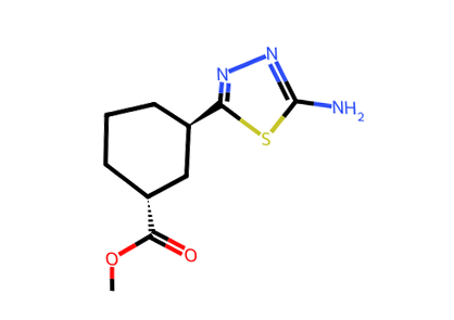 COC(=O)[C@@H]1CCC[C@@H](c2nnc(N)s2)C1